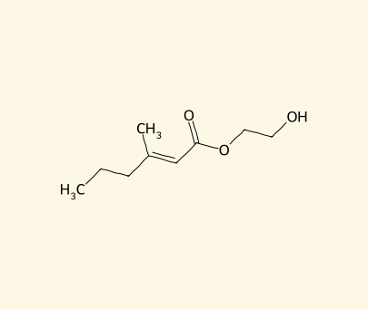 CCC/C(C)=C/C(=O)OCCO